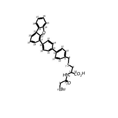 CC(C)(C)CC(=O)NC(CSCc1ccc(-c2ccc(-c3cccc4c3oc3ccccc34)cc2)cc1)C(=O)O